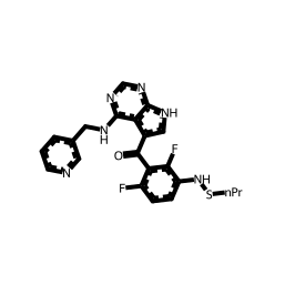 CCCSNc1ccc(F)c(C(=O)c2c[nH]c3ncnc(NCc4cccnc4)c23)c1F